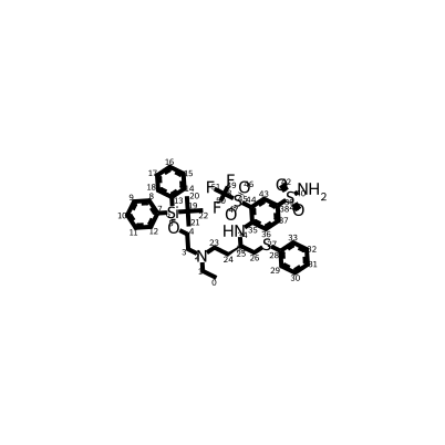 CCN(CCO[Si](c1ccccc1)(c1ccccc1)C(C)(C)C)CC[C@H](CSc1ccccc1)Nc1ccc(S(N)(=O)=O)cc1S(=O)(=O)C(F)(F)F